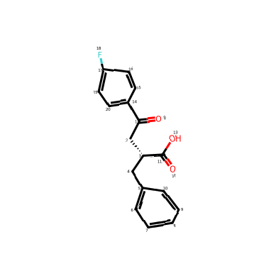 O=C(C[C@@H](Cc1ccccc1)C(=O)O)c1ccc(F)cc1